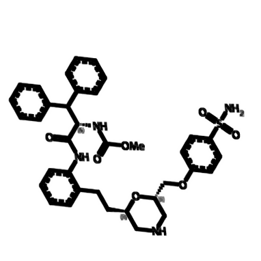 COC(=O)N[C@H](C(=O)Nc1ccccc1CC[C@@H]1CNC[C@@H](COc2ccc(S(N)(=O)=O)cc2)O1)C(c1ccccc1)c1ccccc1